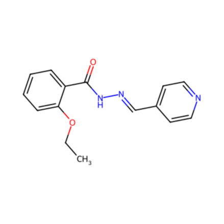 CCOc1ccccc1C(=O)NN=Cc1ccncc1